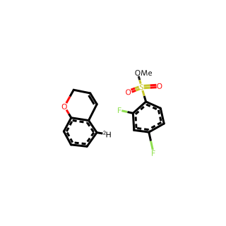 COS(=O)(=O)c1ccc(F)cc1F.[2H]c1cccc2c1C=CCO2